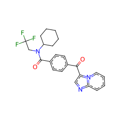 O=C(c1ccc(C(=O)N(CC(F)(F)F)C2CCCCC2)cc1)c1cnc2ccccn12